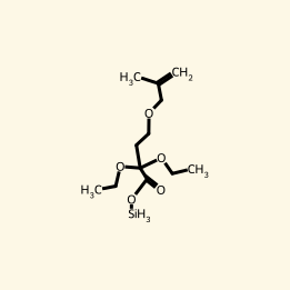 C=C(C)COCCC(OCC)(OCC)C(=O)O[SiH3]